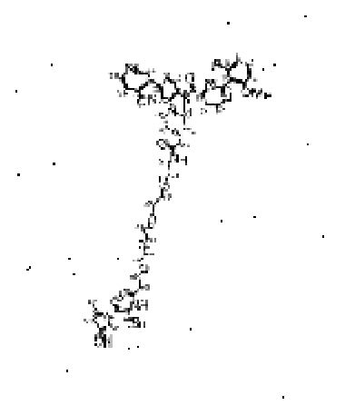 COc1cccc(F)c1-c1nccc(C(=O)Nc2ccc(-c3cnccc3C#N)cc2N2CCN(CC(=O)NCCOCCOCCOCCOCCC(=O)N[C@H](C(=O)N3C[C@H](O)C[C@H]3C)C(C)(C)C)CC2)n1